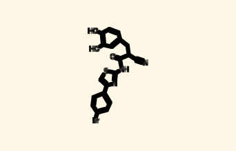 N#CC(Cc1ccc(O)c(O)c1)C(=O)Nc1nc(-c2ccc(Br)cc2)cs1